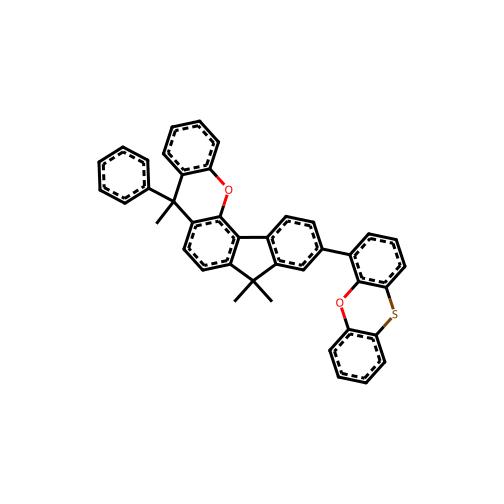 CC1(C)c2cc(-c3cccc4c3Oc3ccccc3S4)ccc2-c2c1ccc1c2Oc2ccccc2C1(C)c1ccccc1